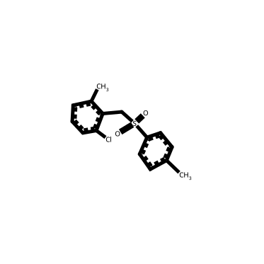 Cc1ccc(S(=O)(=O)Cc2c(C)cccc2Cl)cc1